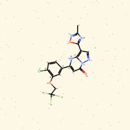 Cc1noc(-c2cnn3c(=O)cc(-c4ccc(Cl)c(OCC(F)(F)F)c4)[nH]c23)n1